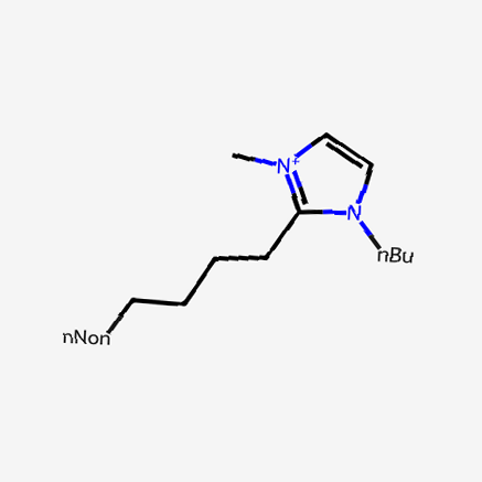 CCCCCCCCCCCCCc1n(CCCC)cc[n+]1C